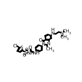 Cc1nc2cc(NCCN(C)C)ccc2c(=O)n1-c1ccc(NC(=O)NS(=O)(=O)c2ccc(Cl)s2)cc1